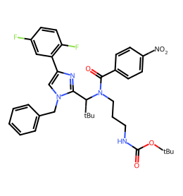 CC(C)(C)OC(=O)NCCCN(C(=O)c1ccc([N+](=O)[O-])cc1)C(c1nc(-c2cc(F)ccc2F)cn1Cc1ccccc1)C(C)(C)C